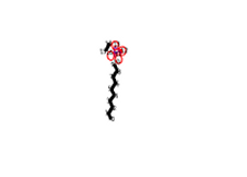 CCCCCCCCCCOP1(=O)OCCO1